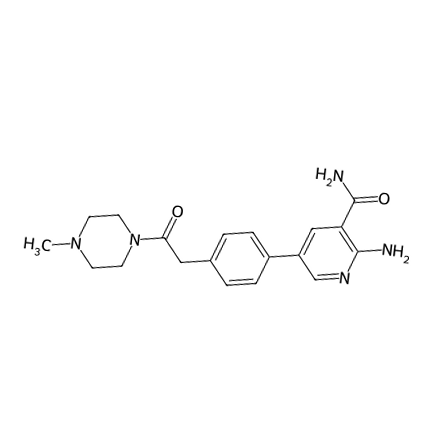 CN1CCN(C(=O)Cc2ccc(-c3cnc(N)c(C(N)=O)c3)cc2)CC1